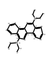 CCN(CC)c1cc2c3ccccc3c(N(CC)CC)cc2c2ccccc12